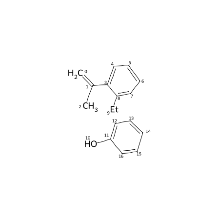 C=C(C)c1ccccc1CC.Oc1ccccc1